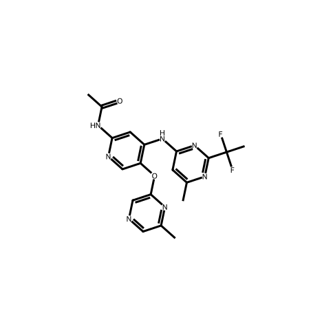 CC(=O)Nc1cc(Nc2cc(C)nc(C(C)(F)F)n2)c(Oc2cncc(C)n2)cn1